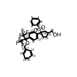 O=S(=O)(c1ccccc1)C1(c2ccc(C(OCc3ccccc3)(C(F)(F)F)C(F)(F)F)cc2)CCC(CO)C1